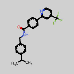 CC(C)c1ccc(CNC(=O)c2ccc(-c3cc(C(F)(F)F)ccn3)cc2)cc1